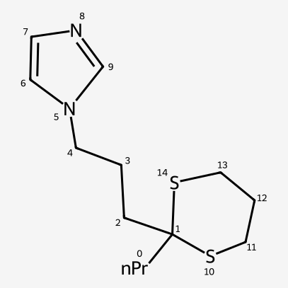 CCCC1(CCCn2ccnc2)SCCCS1